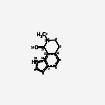 CN1CCc2ccc3cc[nH]c3c2C1=O